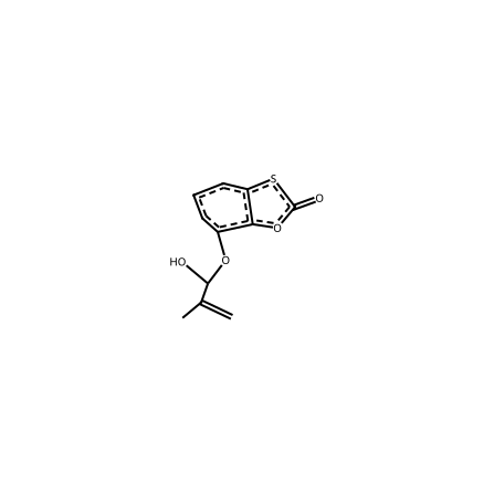 C=C(C)C(O)Oc1cccc2sc(=O)oc12